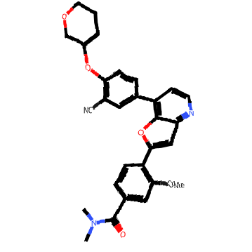 COc1cc(C(=O)N(C)C)ccc1-c1cc2nccc(-c3ccc(OC4CCCOC4)c(C#N)c3)c2o1